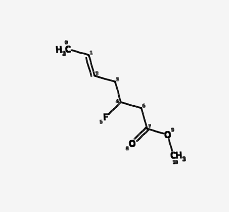 CC=CCC(F)CC(=O)OC